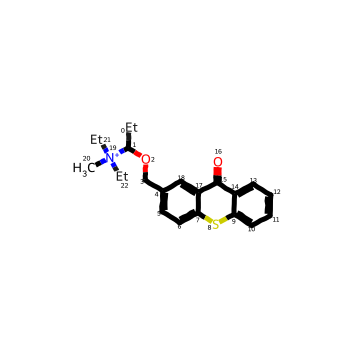 CCC(OCc1ccc2sc3ccccc3c(=O)c2c1)[N+](C)(CC)CC